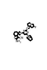 N#Cc1c(N)sc2c1C1(CCC2)CN(c2cc(N3CC4CCC(C3)N4)nc(OC[C@@]34CCCN3C[C@H](F)C4)n2)C1